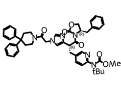 COC(=O)N(c1ccc(C[C@@H](C(=O)N2C(=O)OC[C@H]2Cc2ccccc2)c2cn(CC(=O)N3CCC(c4ccccc4)(c4ccccc4)CC3)cn2)cn1)C(C)(C)C